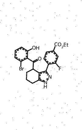 CCOC(=O)c1ccc(-c2n[nH]c3c2C(C(=O)c2c(O)cccc2Br)CCC3)c(F)c1